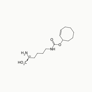 N[C@@H](CCCCNC(=O)OC1C=CCCCCC1)C(=O)O